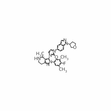 Cc1cc(-n2nc3c(c2-n2ccn(-c4ccc5c(cnn5C5CCOC5)c4)c2=O)[C@H](C)NCC3)cc(C)c1F